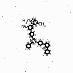 C[C@@H]1C[C@@H]2C[C@H](C)CC(c3cc(C#N)cc(-c4ccc(-c5nc(-c6ccccc6)nc(-c6ccc(-c7cccc8c7oc7ccccc78)cc6)n5)cc4)c3)(C1)C2